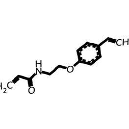 C=CC(=O)NCCOc1ccc(C=C)cc1